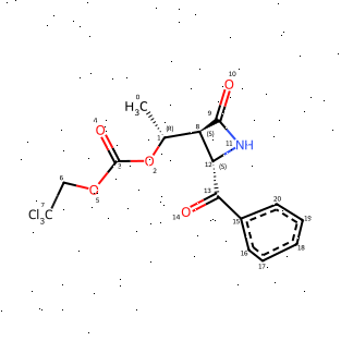 C[C@@H](OC(=O)OCC(Cl)(Cl)Cl)[C@H]1C(=O)N[C@@H]1C(=O)c1ccccc1